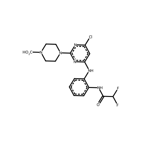 O=C(Nc1ccccc1Nc1cc(Cl)nc(N2CCN(C(=O)O)CC2)n1)C(F)F